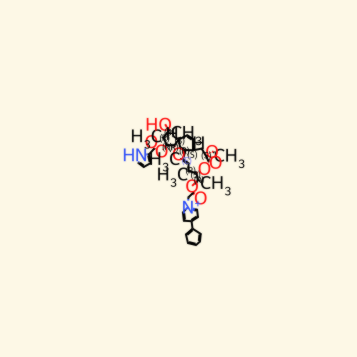 CO[C@H]1C[C@H]2C=C[C@@H]3C[C@]2(O[C@H]3[C@H](OC(=O)c2ccc[nH]2)[C@H](C)[C@H](C)O)/C(C)=C/[C@@H](C)[C@@H]([C@@H](C)OC(=O)C[n+]2ccc(-c3ccccc3)cc2)OC1=O